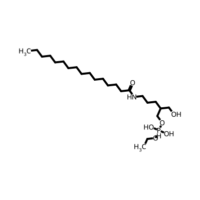 CCCCCCCCCCCCCCCC(=O)NCCCC(CO)CO[PH](O)(O)OCC